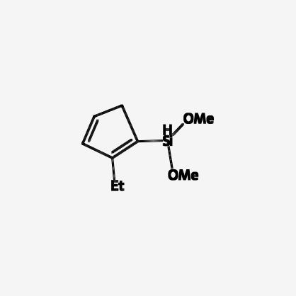 CCC1=C([SiH](OC)OC)CC=C1